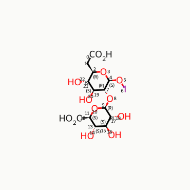 O=C(O)C[C@H]1O[C@@H](OI)[C@H](O[C@@H]2O[C@H](C(=O)O)[C@@H](O)[C@H](O)[C@H]2O)[C@@H](O)[C@@H]1O